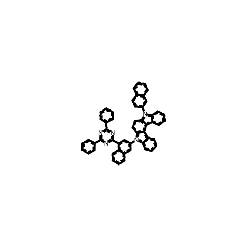 c1ccc(-c2nc(-c3ccccc3)nc(-c3cc(-n4c5ccccc5c5c6c7ccccc7n(-c7ccc8ccccc8c7)c6ccc54)cc4ccccc34)n2)cc1